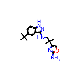 CC(C)(C)c1ccc2[nH]nc(NCC(C)(C)c3coc(N)n3)c2c1